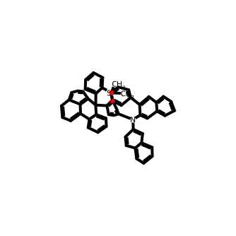 C[Si]1(C)c2ccccc2C2(c3ccccc3-c3cccc4cccc2c34)c2ccc(N(c3ccc4ccccc4c3)c3cc4ccccc4cc3-c3ccccc3)cc21